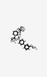 COC(=O)N1CCC[C@H](NS(C)(=O)=O)[C@@H]1CO[C@H]1CC[C@@H](c2cccc(OC)c2)CC1